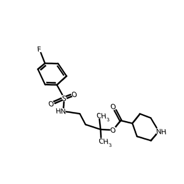 CC(C)(CCNS(=O)(=O)c1ccc(F)cc1)OC(=O)C1CCNCC1